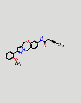 CC#CCC(=O)Nc1ccc2c(c1)OCc1cc(-c3ccccc3OC)nn1C2